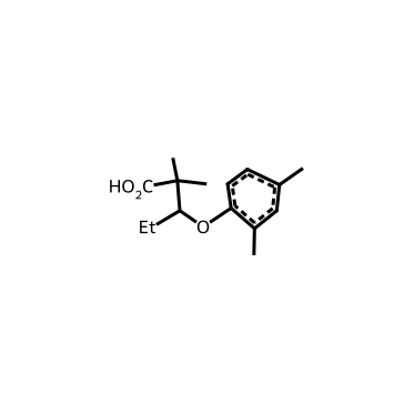 CCC(Oc1ccc(C)cc1C)C(C)(C)C(=O)O